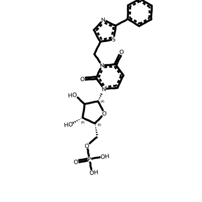 O=c1ccn([C@@H]2O[C@H](COP(=O)(O)O)[C@H](O)C2O)c(=O)n1Cc1cnc(-c2ccccc2)s1